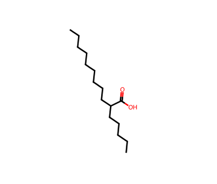 CCCCCCCCCC(CCCCC)C(=O)O